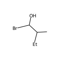 CCC(C)C(O)Br